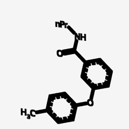 CCCNC(=O)c1cccc(Oc2ccc(C)cc2)c1